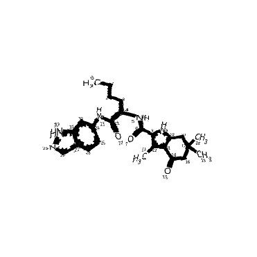 CCCCC(NC(=O)c1[nH]c2c(c1C)C(=O)CC(C)(C)C2)C(=O)Nc1ccc2cn[nH]c2c1